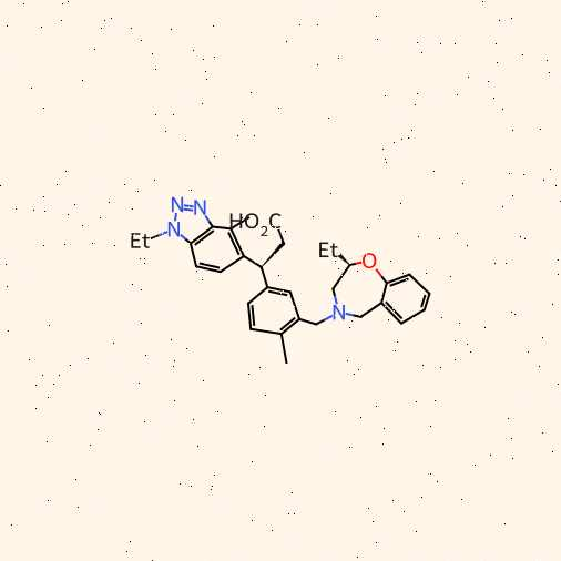 CC[C@@H]1CN(Cc2cc([C@H](CC(=O)O)c3ccc4c(nnn4CC)c3C)ccc2C)Cc2ccccc2O1